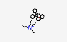 CCCC[N+](CCCC)(CCCC)CCCC.c1ccc(C[B-](c2ccccc2)(c2ccccc2)c2ccccc2)cc1